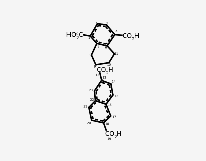 O=C(O)c1ccc(C(=O)O)c2c1CCCC2.O=C(O)c1ccc2cc(C(=O)O)ccc2c1